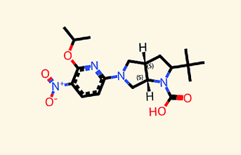 CC(C)Oc1nc(N2C[C@@H]3CC(C(C)(C)C)N(C(=O)O)[C@@H]3C2)ccc1[N+](=O)[O-]